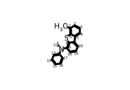 Cc1cccc2c1sc1c(N(I)c3ccccc3)cccc12